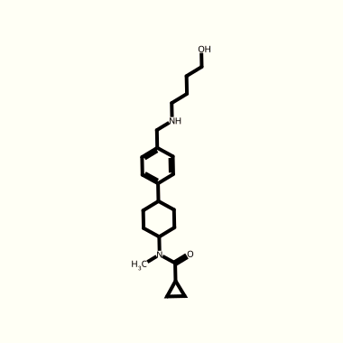 CN(C(=O)C1CC1)C1CCC(c2ccc(CNCCCCO)cc2)CC1